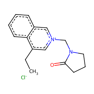 CCc1c[n+](CN2CCCC2=O)cc2ccccc12.[Cl-]